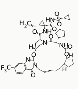 C=C[C@@H]1C[C@]1(NC(=O)[C@@H]1C[C@@H]2CN1C(=O)[C@H](C1CCCC1)NC(=O)O[C@@H]1CCC[C@H]1CC/C=C/Cn1c(nc3cc(C(F)(F)F)ccc3c1=O)O2)C(=O)NS(=O)(=O)C1CC1